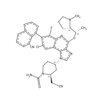 C[C@H](Oc1nc2c(F)c(-c3cccc4cccc(C#N)c34)c(Cl)cc2c2c1ncn2[C@H]1CCN(C(N)=O)[C@H](CC#N)C1)[C@@H]1CCCN1C